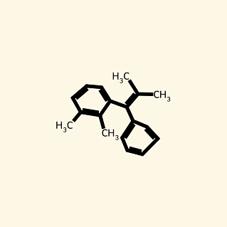 CC(C)=C(c1ccccc1)c1cccc(C)c1C